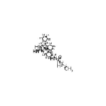 CCCCNC(=O)NCc1ccc(CN2C(=N)NC(Cc3ccccc3)(Cc3ccccc3)C2=O)cc1